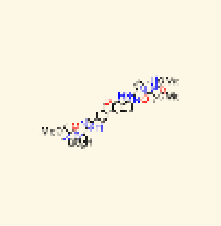 CC[C@H]1CC[C@@H](c2ncc(-c3ccc4c(c3)COc3cc5c(ccc6nc([C@@H]7CC[C@H](C)N7C(=O)[C@@H](NC(=O)OC)[C@@H](C)OC)[nH]c65)cc3-4)[nH]2)N1C(=O)[C@H]([C@@H](C)OC)N(C)C(=O)O